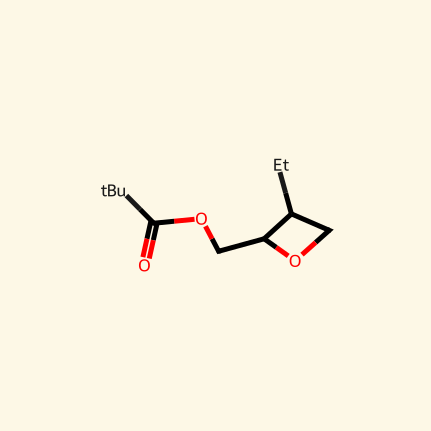 CCC1COC1COC(=O)C(C)(C)C